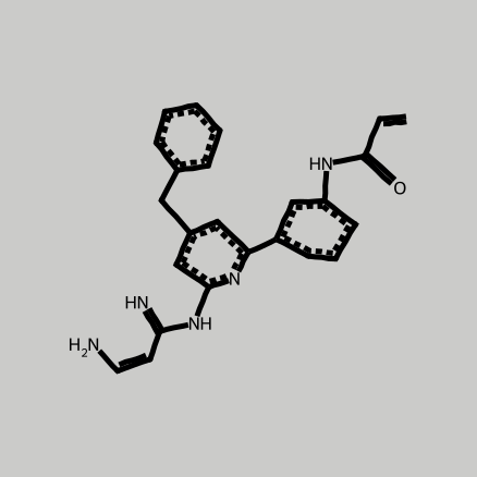 C=CC(=O)Nc1cccc(-c2cc(Cc3ccccc3)cc(NC(=N)/C=C\N)n2)c1